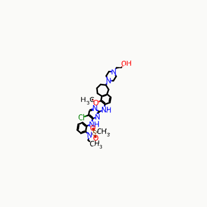 CCN(c1ccccc1Nc1nc(Nc2ccc3c(c2OC)CCCC(N2CCN(CCO)CC2)C3)ncc1Cl)S(C)(=O)=O